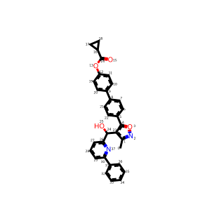 Cc1noc(-c2ccc(-c3ccc(OC(=O)C4CC4)cc3)cc2)c1C(O)c1cccc(-c2ccccc2)n1